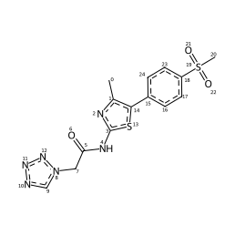 Cc1nc(NC(=O)Cn2cnnn2)sc1-c1ccc(S(C)(=O)=O)cc1